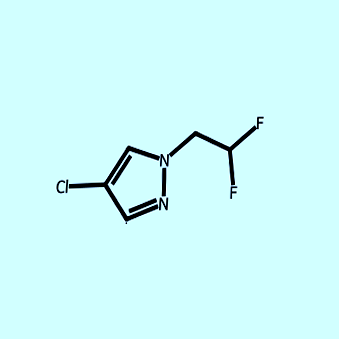 FC(F)Cn1cc(Cl)[c]n1